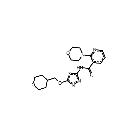 O=C(Nc1nnc(OCC2CCOCC2)s1)c1cccnc1N1CCOCC1